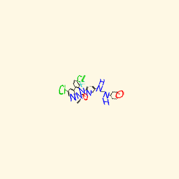 CCN1C(=O)N(c2ncc(NCCNC3CCOCC3)cc2F)c2cc(Cl)ccc2-c2cc(Cl)cnc21